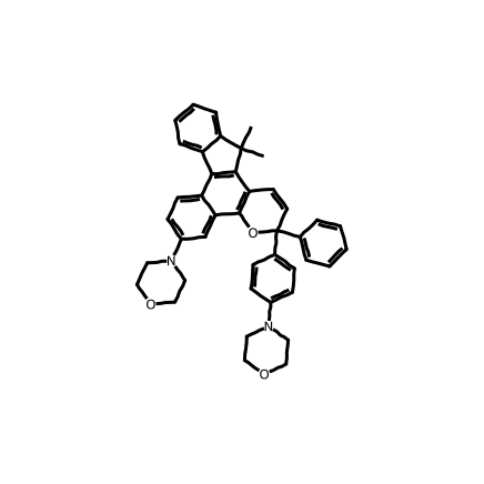 CC1(C)c2ccccc2-c2c1c1c(c3cc(N4CCOCC4)ccc23)OC(c2ccccc2)(c2ccc(N3CCOCC3)cc2)C=C1